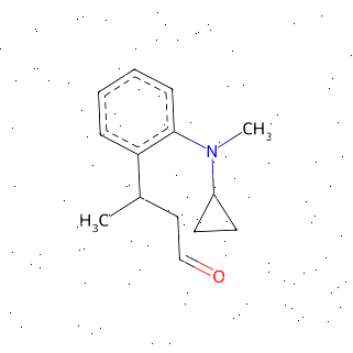 CC(CC=O)c1ccccc1N(C)C1CC1